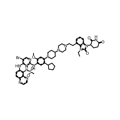 CCn1c(=O)n(C2CCC(=O)NC2=O)c2cccc(CCN3CCN(C4CCN(c5cc(OC)c(Nc6ncc(Br)c(Nc7ccc8nccnc8c7NS(C)(=O)=O)n6)cc5C5CCCC5)CC4)CC3)c21